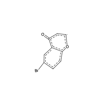 O=c1c[c]oc2ccc(Br)cc12